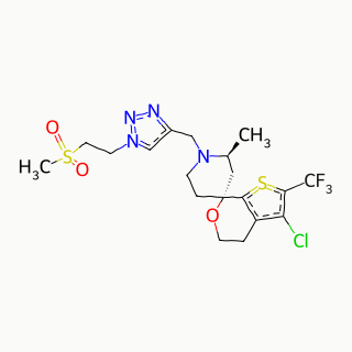 C[C@H]1C[C@@]2(CCN1Cc1cn(CCS(C)(=O)=O)nn1)OCCc1c2sc(C(F)(F)F)c1Cl